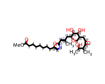 COC(=O)CCCCCCCc1cnc(/C=C(\C)CC2OCC(CC3OC3C(C)C(C)O)C(O)C2O)o1